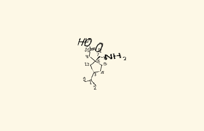 CC(C)C1CC[C@@](CN)(CC(=O)O)C1